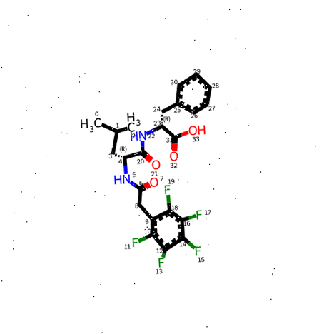 CC(C)C[C@@H](NC(=O)Cc1c(F)c(F)c(F)c(F)c1F)C(=O)N[C@H](Cc1ccccc1)C(=O)O